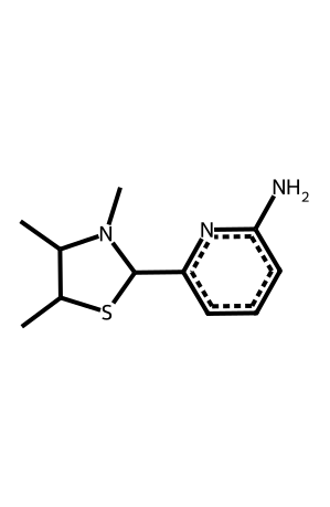 CC1SC(c2cccc(N)n2)N(C)C1C